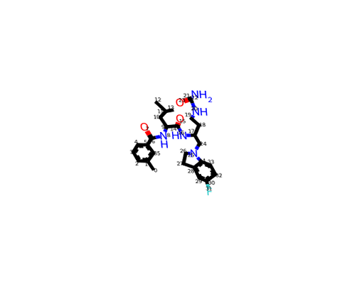 Cc1cccc(C(=O)NC(CC(C)C)C(=O)NC(CCNC(N)=O)CN2CCc3cc(F)ccc32)c1